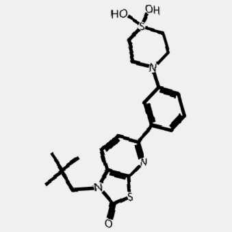 CC(C)(C)Cn1c(=O)sc2nc(-c3cccc(N4CCS(O)(O)CC4)c3)ccc21